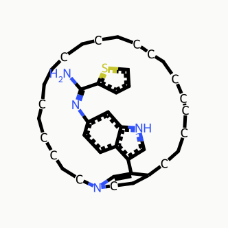 NC(=Nc1ccc2c(C3=CN4CCCCCCCCCCCCCCCCCCCCCC3CC4)c[nH]c2c1)c1cccs1